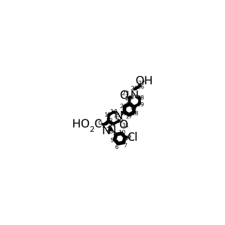 O=C(O)c1nn(-c2cccc(Cl)c2)c2c1CCN(c1ccc3c(c1)C(=O)N(CCO)CC3)C2=O